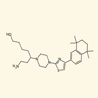 CC1(C)CCC(C)(C)c2cc(-c3csc(N4CCN(C(CCN)CCCCO)CC4)n3)ccc21